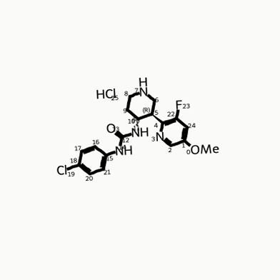 COc1cnc([C@@H]2CNCC[C@H]2NC(=O)Nc2ccc(Cl)cc2)c(F)c1.Cl